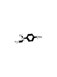 C=C[SiH](CC)c1ccc(OC)cc1